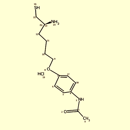 CC(=O)Nc1ccc(OCCCC[C@H](N)CS)cc1.Cl